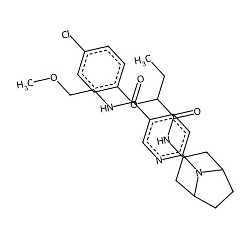 CCC(Oc1ccc(Cl)cc1)C(=O)NC1CC2CCC(C1)N2c1ccc(C(=O)NCCOC)cn1